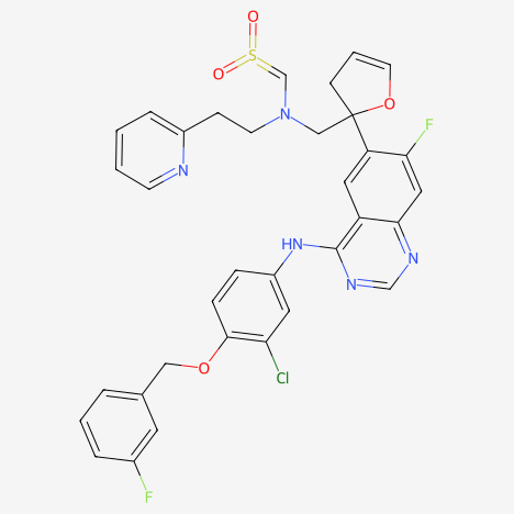 O=S(=O)=CN(CCc1ccccn1)CC1(c2cc3c(Nc4ccc(OCc5cccc(F)c5)c(Cl)c4)ncnc3cc2F)CC=CO1